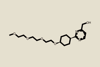 COCCOCCOCCO[C@H]1CC[C@@H](c2nccc(CO)n2)CC1